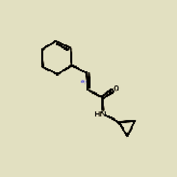 O=C(/C=C/C1C=CCCC1)NC1CC1